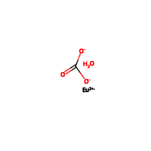 O.O=C([O-])[O-].[Eu+2]